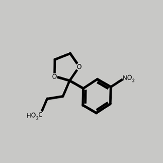 O=C(O)CCC1(c2cccc([N+](=O)[O-])c2)OCCO1